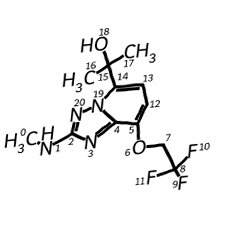 CNc1nc2c(OCC(F)(F)F)ccc(C(C)(C)O)n2n1